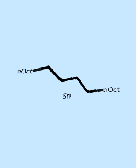 CCCCCCCCCCCCCCCCCCCC.[Sn]